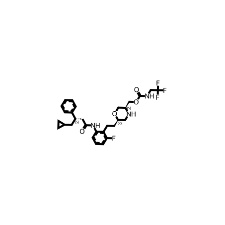 O=C(C[C@H](CC1CC1)c1ccccc1)Nc1cccc(F)c1CC[C@@H]1CN[C@H](COC(=O)NCC(F)(F)F)CO1